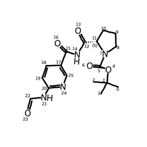 CC(C)(C)OC(=O)N1CCC[C@H]1C(=O)NC(=O)c1ccc(NC=O)nc1